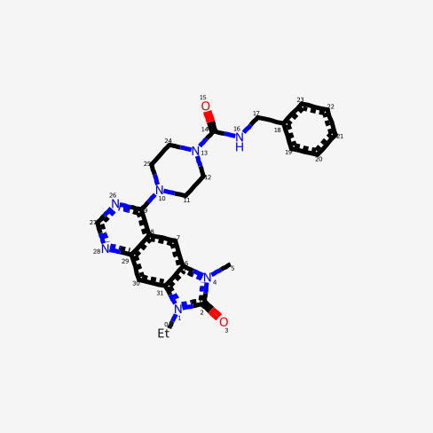 CCn1c(=O)n(C)c2cc3c(N4CCN(C(=O)NCc5ccccc5)CC4)ncnc3cc21